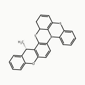 C[C@H]1c2ccccc2Oc2ccc3c(c21)SC1CC=CC2=C1B3c1ccccc1S2